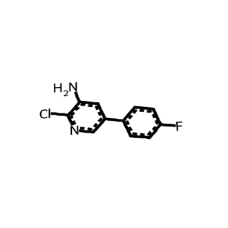 Nc1cc(-c2ccc(F)cc2)cnc1Cl